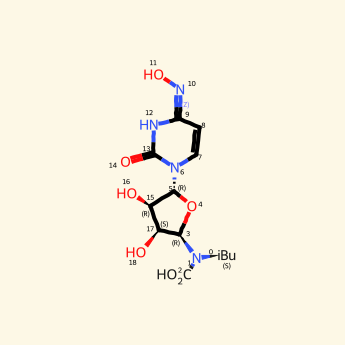 CC[C@H](C)N(C(=O)O)[C@@H]1O[C@@H](n2cc/c(=N/O)[nH]c2=O)[C@H](O)[C@@H]1O